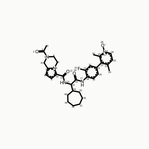 CC(=O)N1CCn2c(ccc2C(=O)NC(C(=O)Nc2ccc(-c3c(C)cc[n+]([O-])c3C)cc2F)C2CCCCCC2)C1